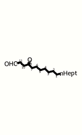 CCCCCCCCCCCCCCC(=O)CCC=O